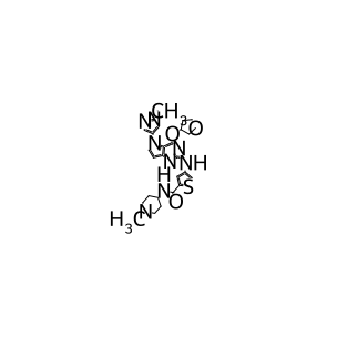 CN1CCC(NC(=O)c2cc(Nc3nc(O[C@H]4CCOC4)c4c(ccn4-c4cnn(C)c4)n3)cs2)CC1